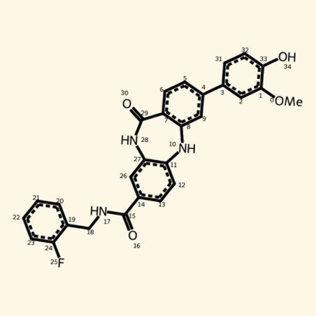 COc1cc(-c2ccc3c(c2)Nc2ccc(C(=O)NCc4ccccc4F)cc2NC3=O)ccc1O